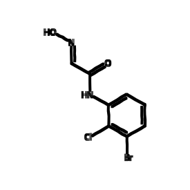 O=C(C=NO)Nc1cccc(Br)c1Cl